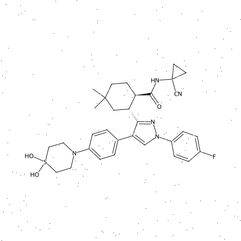 CC1(C)CC[C@@H](C(=O)NC2(C#N)CC2)[C@H](c2nn(-c3ccc(F)cc3)cc2-c2ccc(N3CCS(O)(O)CC3)cc2)C1